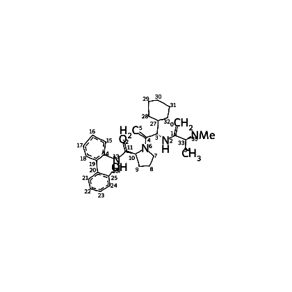 C=C(N[C@H](C(=C)N1CCC[C@H]1C(=O)Nc1ccccc1-c1ccccc1O)C1CCCCC1)[C@H](C)NC